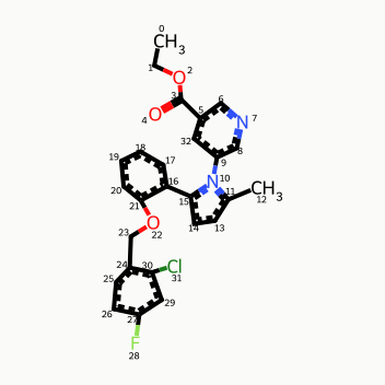 CCOC(=O)c1cncc(-n2c(C)ccc2-c2ccccc2OCc2ccc(F)cc2Cl)c1